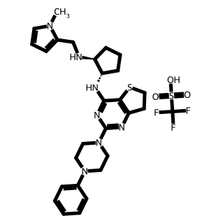 Cn1cccc1CN[C@H]1CCC[C@@H]1Nc1nc(N2CCN(c3ccccc3)CC2)nc2c1SCC2.O=S(=O)(O)C(F)(F)F